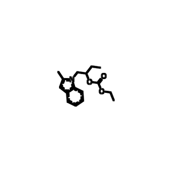 CCOC(=O)OC(CC)Cn1c(C)cc2ccccc21